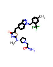 Cc1ccc(Cn2ncc3cc(/C=C4\SC(N(C)[C@@H]5CCN(CC(N)=O)C5)=NC4=O)ccc32)c(C(F)(F)F)c1